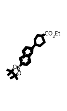 CCOC(=O)C1CCC(c2ccc3cc(B4OC(C)(C)C(C)(C)O4)ccc3c2)CC1